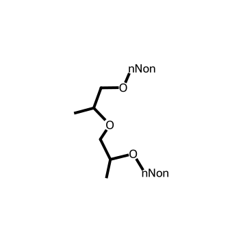 CCCCCCCCCOCC(C)OCC(C)OCCCCCCCCC